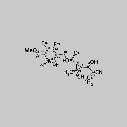 C=C(C#N)C(O)[C@@H]1[C@@H](C(=O)OCc2c(F)c(F)c(COC)c(F)c2F)C1(C)C